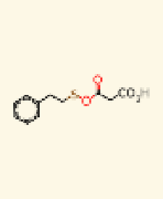 O=C(O)CC(=O)OSCCc1ccccc1